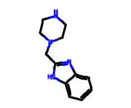 c1ccc2[nH]c(CN3CCNCC3)nc2c1